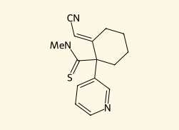 CNC(=S)C1(c2cccnc2)CCCCC1=CC#N